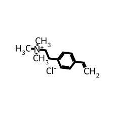 C=Cc1ccc(CC[N+](C)(C)C)cc1.[Cl-]